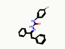 O=C(NN=C(Cc1ccccc1)c1ccccc1)Nc1ccc(Cl)cc1